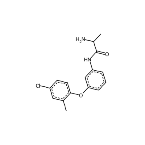 Cc1cc(Cl)ccc1Oc1cccc(NC(=O)C(C)N)c1